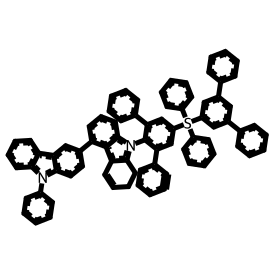 c1cccc(-c2cc(S(c3ccccc3)(c3ccccc3)c3cc(-c4ccccc4)cc(-c4ccccc4)c3)cc(-c3ccccc3)c2-n2c3c(c4c(-c5ccc6c(c5)c5ccccc5n6-c5ccccc5)cccc42)C=CCC3)c#1